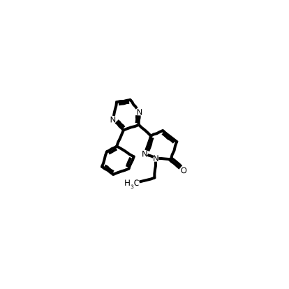 CCn1nc(-c2nccnc2-c2ccccc2)ccc1=O